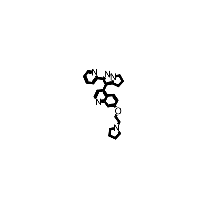 c1ccc(-c2nn3c(c2-c2ccnc4cc(OCCN5CCCC5)ccc24)CCC3)nc1